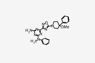 COC1(c2ccccc2)CCN(c2nc(-c3nc(N)nc(N(C)c4ccccc4)n3)no2)CC1